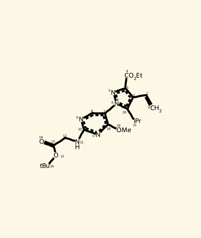 C=Cc1c(C(=O)OCC)nn(-c2cnc(NCC(=O)OC(C)(C)C)nc2OC)c1C(C)C